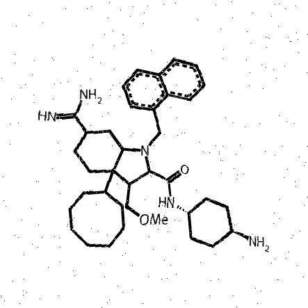 COCC1C(C(=O)N[C@H]2CC[C@H](N)CC2)N(Cc2cccc3ccccc23)C2CC(C(=N)N)CCC12C1CCCCCCC1